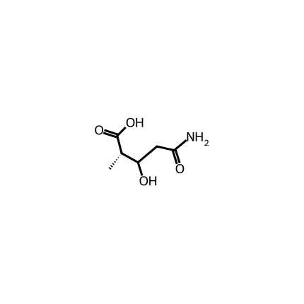 C[C@H](C(=O)O)C(O)CC(N)=O